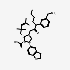 CCCCN(C(=O)CN1C[C@H](c2ccc3c(c2)CCO3)[C@@H](C(=O)O)[C@@H]1CC(C)(C)C=C(C)C)c1cccc(CN)c1